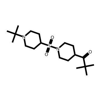 CC(C)(C)C(=O)C1CCN(S(=O)(=O)C2CCN(C(C)(C)C)CC2)CC1